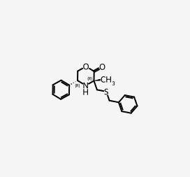 C[C@@]1(CSCc2ccccc2)N[C@H](c2ccccc2)COC1=O